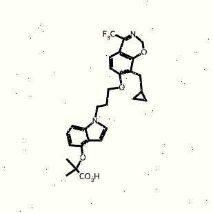 CC(C)(Oc1cccc2c1ccn2CCCOc1ccc2c(c1CC1CC1)OCN=C2C(F)(F)F)C(=O)O